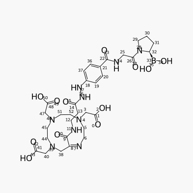 O=C(O)CN1CC/N=C(\C(=O)NCCC(=O)NNc2ccc(C(=O)NCC(=O)N3CCC[C@H]3B(O)O)cc2)CN(CC(=O)O)CCN(CC(=O)O)CC1